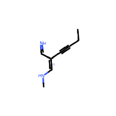 CCC#C/C(C=N)=C/NC